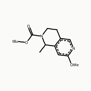 COc1cc2c(cn1)CCN(C(=O)OC(C)(C)C)C2C